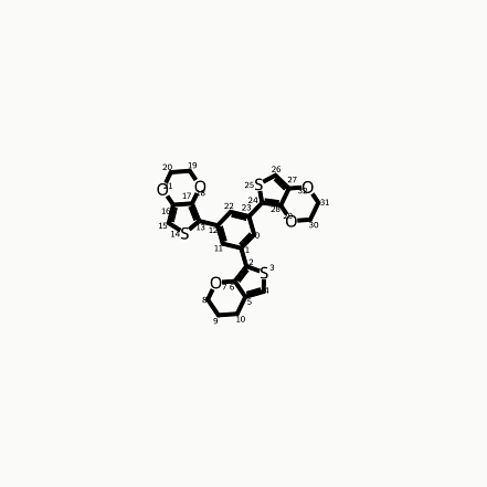 c1c(-c2scc3c2OCCC3)cc(-c2scc3c2OCCO3)cc1-c1scc2c1OCCO2